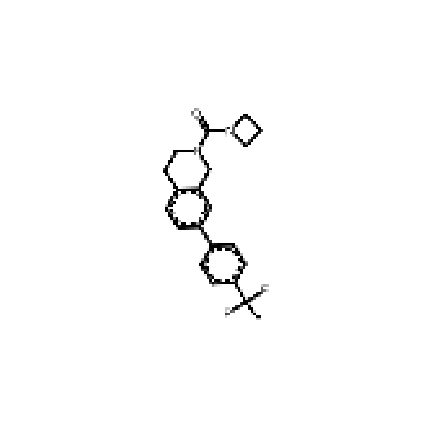 O=C(N1CCC1)N1CCc2ccc(-c3ccc(C(F)(F)F)cc3)cc2C1